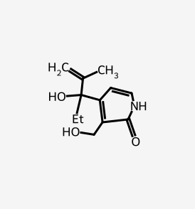 C=C(C)C(O)(CC)c1cc[nH]c(=O)c1CO